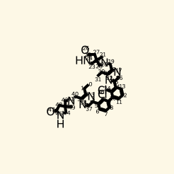 CCc1nc(-c2cccc(-c3cccc(-c4cnc(CN5CC6(CNC(=O)C6)C5)c(CC)n4)c3Cl)c2Cl)cnc1CN1CC2(CNC(=O)C2)C1